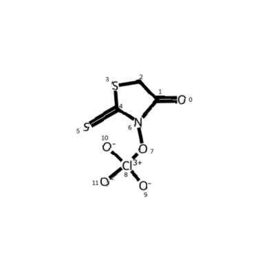 O=C1CSC(=S)N1O[Cl+3]([O-])([O-])[O-]